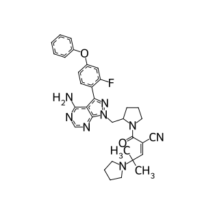 CC(C)(/C=C(/C#N)C(=O)N1CCCC1Cn1nc(-c2ccc(Oc3ccccc3)cc2F)c2c(N)ncnc21)N1CCCC1